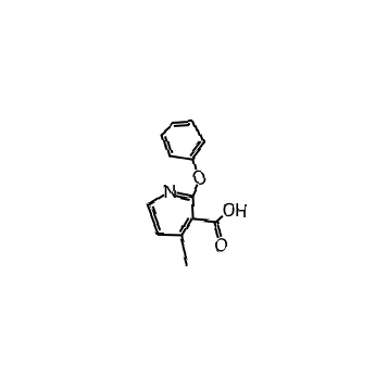 Cc1ccnc(Oc2ccccc2)c1C(=O)O